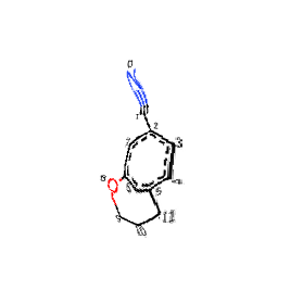 N#Cc1ccc2c(c1)OCC[CH]2